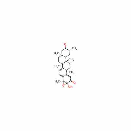 C[C@@H]1CC2[C@@](C)(CC[C@]3(C)C4=CC=C5C(=CC(=O)C6(O)OC56C)[C@]4(C)CC[C@@]23C)CC1=O